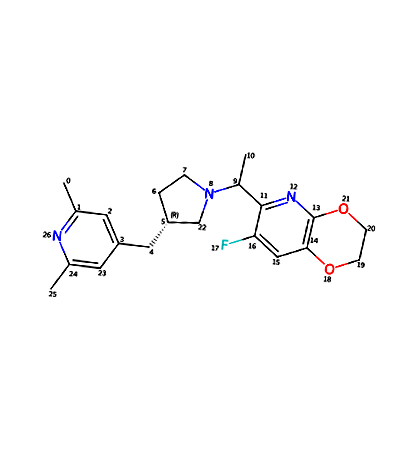 Cc1cc(C[C@@H]2CCN(C(C)c3nc4c(cc3F)OCCO4)C2)cc(C)n1